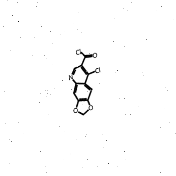 O=C(Cl)c1cnc2cc3c(cc2c1Cl)OCO3